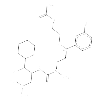 COC(=O)NCCO[C@H](CCN(C)C(=O)NC(CN(C)C(=O)O)C(C1CCCCC1)C(C)(C)C)c1cccc(Cl)c1